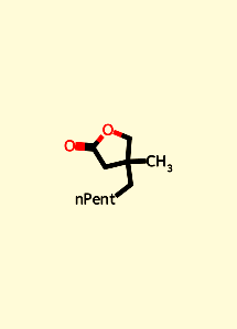 CCCCCCC1(C)COC(=O)C1